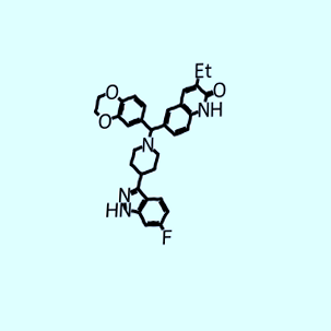 CCc1cc2cc(C(c3ccc4c(c3)OCCO4)N3CCC(c4n[nH]c5cc(F)ccc45)CC3)ccc2[nH]c1=O